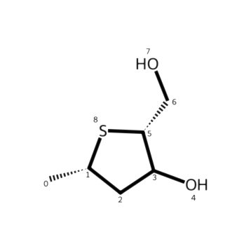 C[C@H]1CC(O)[C@@H](CO)S1